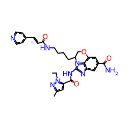 CCn1nc(C)cc1C(=O)Nc1nc2cc(C(N)=O)cc3c2n1C(CCCCNC(=O)/C=C/c1ccncc1)CO3